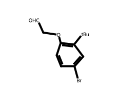 CC(C)(C)c1cc(Br)ccc1OCC=O